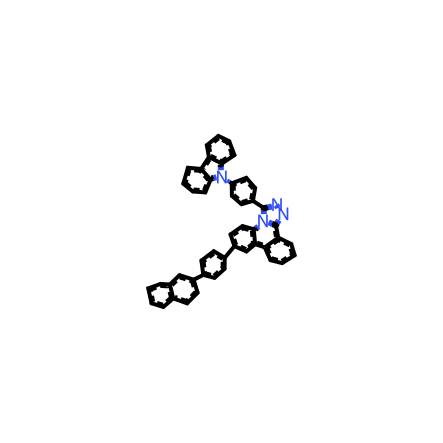 c1ccc2cc(-c3ccc(-c4ccc5c(c4)c4ccccc4c4nnc(-c6ccc(-n7c8ccccc8c8ccccc87)cc6)n54)cc3)ccc2c1